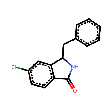 O=C1NC(Cc2ccccc2)c2cc(Cl)ccc21